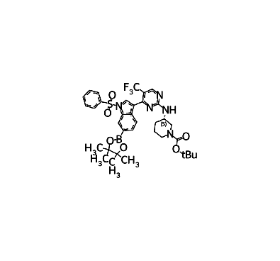 CC(C)(C)OC(=O)N1CCC[C@H](Nc2ncc(C(F)(F)F)c(-c3cn(S(=O)(=O)c4ccccc4)c4cc(B5OC(C)(C)C(C)(C)O5)ccc34)n2)C1